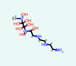 CCN(O)C(O)(O)C(O)(O)N(O)C(O)CNCCNCCN